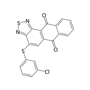 O=C1c2ccccc2C(=O)c2c1cc(Sc1cccc(Cl)c1)c1nsnc21